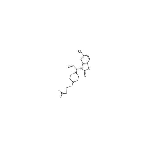 CN(C)CCCN1CCN(C(C=O)n2c(=O)sc3ccc(Cl)cc32)CC1